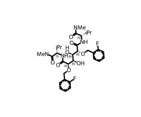 CNC(=O)[C@@H](NC(=O)[C@H](OCc1ccccc1F)[C@H](O)[C@@H](O)[C@@H](OCc1ccccc1F)C(=O)N[C@H](C(=O)NC)C(C)C)C(C)C